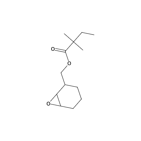 CCC(C)(C)C(=O)OCC1CCCC2OC12